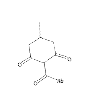 CC1CC(=O)C([C](=O)[Rb])C(=O)C1